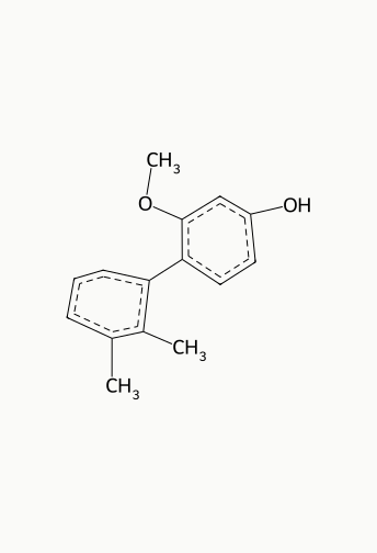 COc1cc(O)ccc1-c1cccc(C)c1C